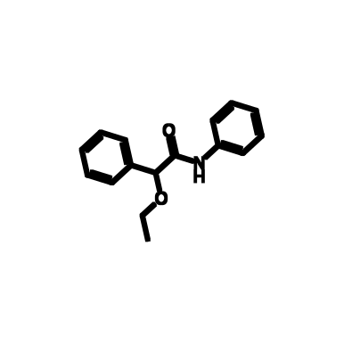 CCOC(C(=O)Nc1ccccc1)c1ccccc1